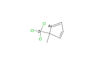 C[C]1([Zr]([Cl])([Cl])[Cl])C=CC=[As]1